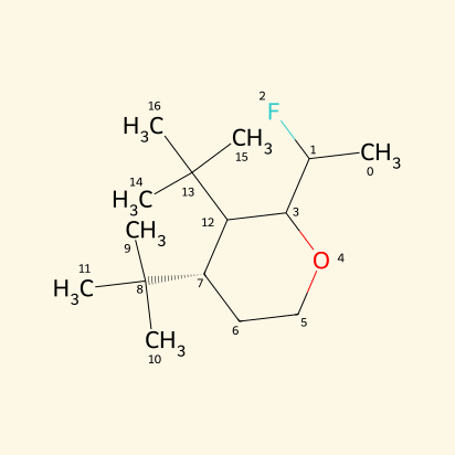 CC(F)C1OCC[C@H](C(C)(C)C)C1C(C)(C)C